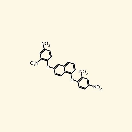 O=[N+]([O-])c1ccc(Oc2ccc3c(Oc4ccc([N+](=O)[O-])cc4[N+](=O)[O-])cccc3c2)c([N+](=O)[O-])c1